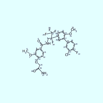 COc1cc(C(=O)NCC(F)(c2ccc(OC)c(-c3ccc(F)c(Cl)c3)n2)C(F)(F)F)ccc1OCC(N)=O